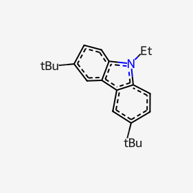 CCn1c2ccc(C(C)(C)C)cc2c2cc(C(C)(C)C)ccc21